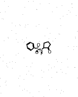 O=C1CCCC1N(F)S(=O)(=O)c1ccccc1